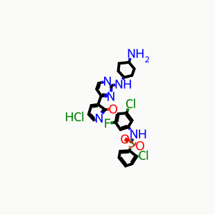 Cl.NC1CCC(Nc2nccc(-c3cccnc3Oc3c(F)cc(NS(=O)(=O)c4ccccc4Cl)cc3Cl)n2)CC1